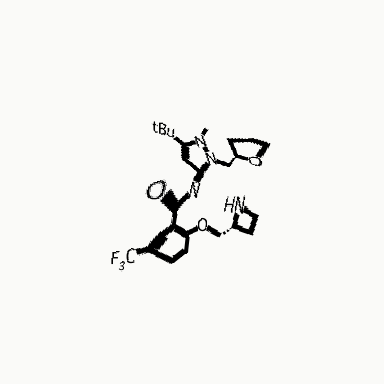 Cn1c(C(C)(C)C)cc(=NC(=O)c2cc(C(F)(F)F)ccc2OC[C@H]2CCN2)n1C[C@H]1CCCO1